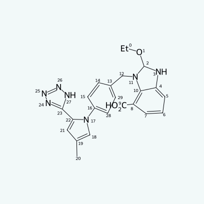 CCOC1Nc2cccc(C(=O)O)c2N1Cc1ccc(-n2cc(C)cc2-c2nnn[nH]2)cc1